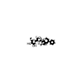 CSC1O[C@H]([C@H](NC(=O)[C@@H]2[C@@H]3OCC[C@@H](C4CCCCC4)C[C@H]3CN2C)[C@H](C)Cl)CC(O)[C@H]1O